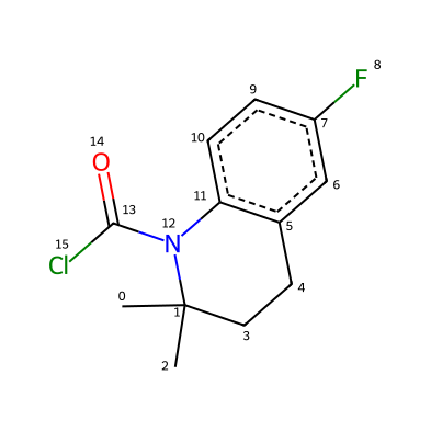 CC1(C)CCc2cc(F)ccc2N1C(=O)Cl